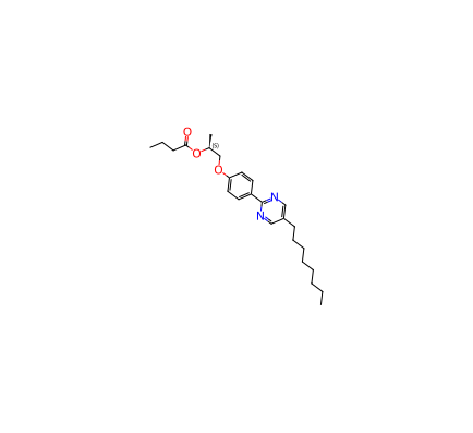 CCCCCCCCc1cnc(-c2ccc(OC[C@H](C)OC(=O)CCC)cc2)nc1